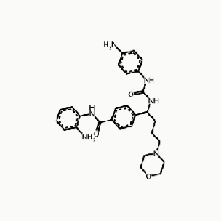 Nc1ccc(NC(=O)NC(CCCN2CCOCC2)c2ccc(C(=O)Nc3ccccc3N)cc2)cc1